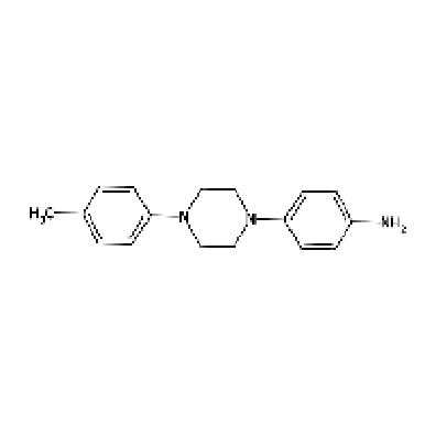 Cc1ccc(N2CCN(c3ccc(N)cc3)CC2)cc1